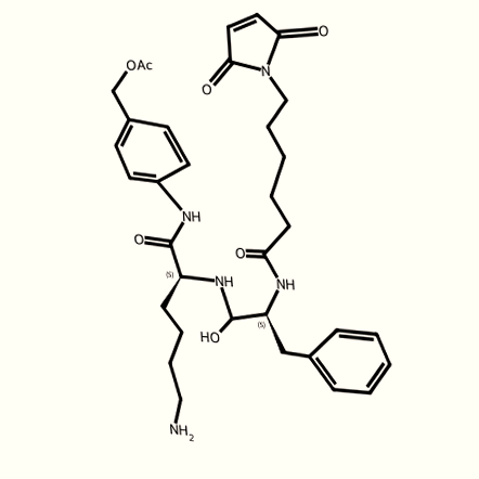 CC(=O)OCc1ccc(NC(=O)[C@H](CCCCN)NC(O)[C@H](Cc2ccccc2)NC(=O)CCCCCN2C(=O)C=CC2=O)cc1